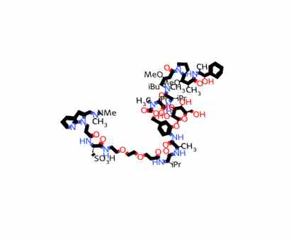 CC[C@H](C)[C@@H]([C@@H](CC(=O)N1CCC[C@H]1[C@H](OC)[C@@H](C)C(=O)N[C@H](C)[C@@H](O)c1ccccc1)OC)N(C)C(=O)[C@@H](NC(=O)[C@H](C(C)C)N(C)C(=O)OCc1ccc(NC(=O)[C@H](C)NC(=O)[C@@H](NC(=O)CCOCCOCCNC(=O)[C@H](CS(=O)(=O)O)NC(=O)CCn2c(CN(C)NC)cc3cccnc32)C(C)C)c(O[C@@H]2O[C@H](CO)[C@H](O)[C@H](O)[C@H]2O)c1)C(C)C